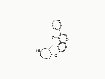 CC1CNCCCC1Oc1ccc2occ(-c3ccccc3)c(=O)c2c1